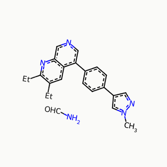 CCc1cc2c(-c3ccc(-c4cnn(C)c4)cc3)cncc2nc1CC.NC=O